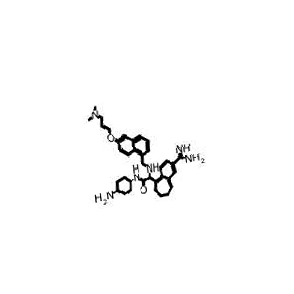 CN(C)CCCOc1ccc2c(CNC(C(=O)N[C@H]3CC[C@H](N)CC3)C3=c4ccc(C(=N)N)cc4=CCCC3)cccc2c1